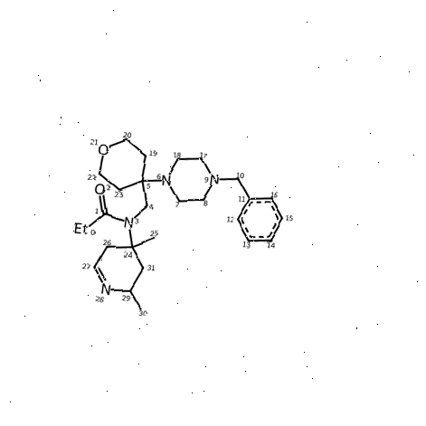 CCC(=O)N(CC1(N2CCN(Cc3ccccc3)CC2)CCOCC1)C1(C)CC=NC(C)C1